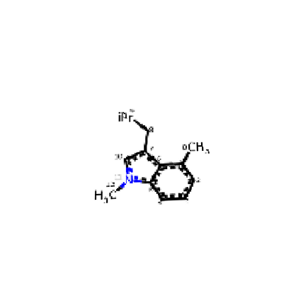 Cc1cccc2c1c(CC(C)C)cn2C